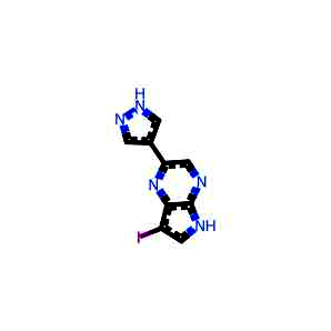 Ic1c[nH]c2ncc(-c3cn[nH]c3)nc12